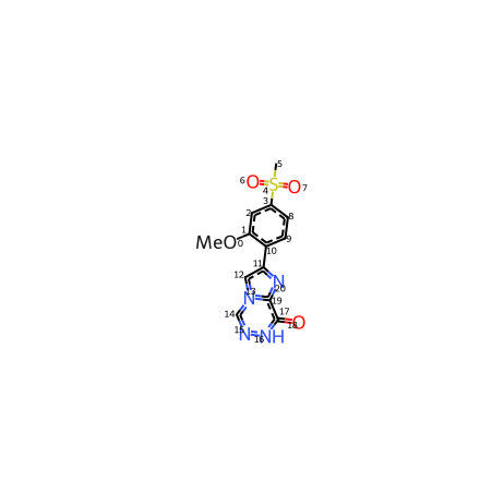 COc1cc(S(C)(=O)=O)ccc1-c1cn2cn[nH]c(=O)c2n1